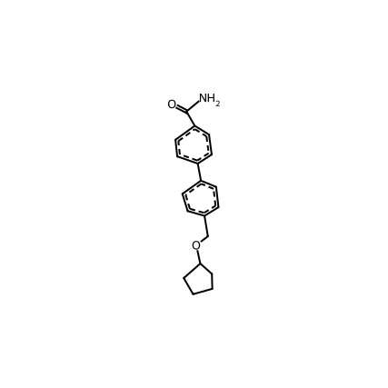 NC(=O)c1ccc(-c2ccc(COC3CCCC3)cc2)cc1